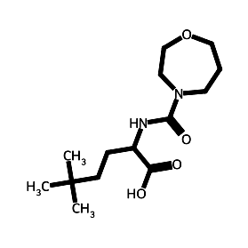 CC(C)(C)CCC(NC(=O)N1CCCOCC1)C(=O)O